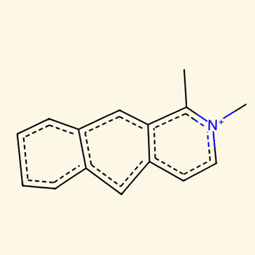 Cc1c2cc3ccccc3cc2cc[n+]1C